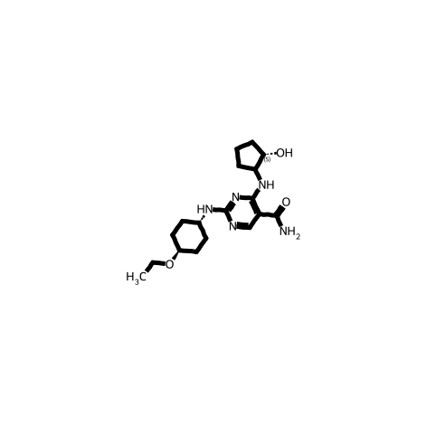 CCO[C@H]1CC[C@H](Nc2ncc(C(N)=O)c(NC3CCC[C@@H]3O)n2)CC1